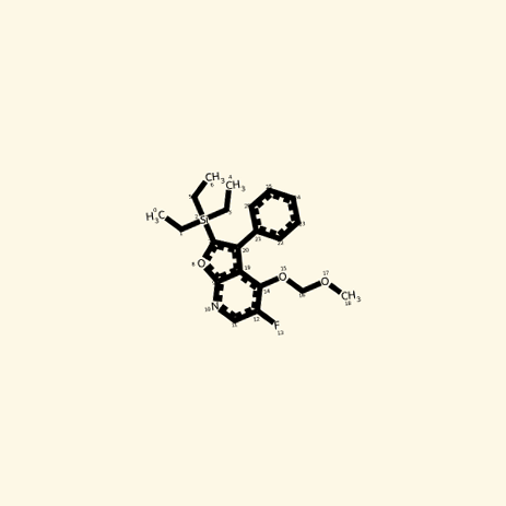 CC[Si](CC)(CC)c1oc2ncc(F)c(OCOC)c2c1-c1ccccc1